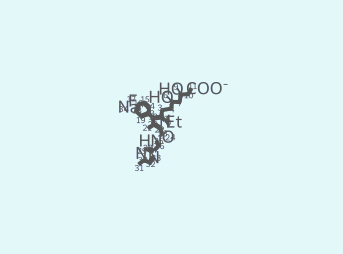 CCn1c(CC[C@@H](O)C[C@@H](O)CC(=O)[O-])c(-c2ccc(F)cc2)c(C)c1C(=O)NCc1cnc(C)cn1.[Na+]